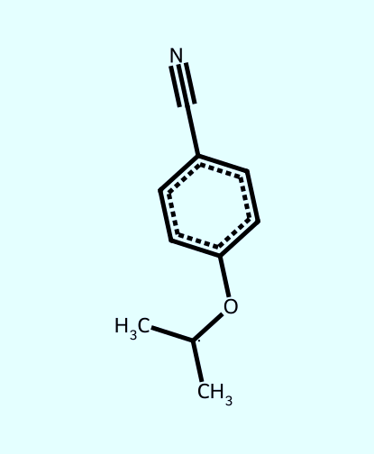 C[C](C)Oc1ccc(C#N)cc1